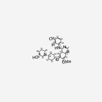 COC1=CC2=NC=NC(Nc3cccc(Cl)c3F)C2C=C1O[C@H]1CC[C@@H](N2CCC[C@@H](O)C2)CC1